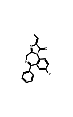 C/C=C1\N=C2CN=C(c3ccccc3)c3cc(Br)ccc3N2C1=O